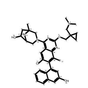 CN(C)CC1(COc2nc(N3CC4NC(C)(CC4O)C3)c3cc(Cl)c(-c4cc(O)cc5ccccc45)c(F)c3n2)CC1